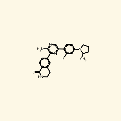 CC1CCCN1c1ccc(-c2cnc(N)c(-c3ccc4c(c3)CCNC4=O)n2)c(F)c1